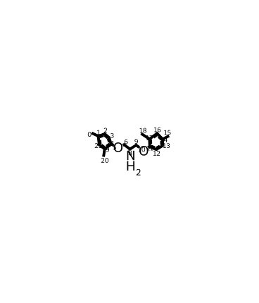 Cc1ccc(OCC(N)COc2ccc(C)cc2C)c(C)c1